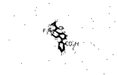 O=C(O)c1ccccc1-c1cccc2c1CCN(C(F)(F)F)C2C(=O)C1CC1